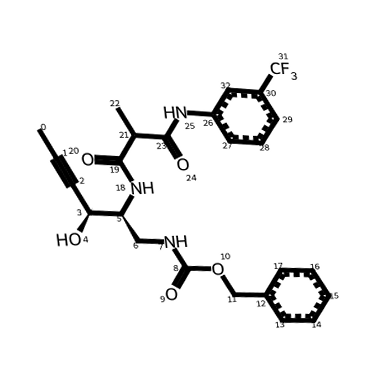 CC#C[C@H](O)[C@H](CNC(=O)OCc1ccccc1)NC(=O)C(C)C(=O)Nc1cccc(C(F)(F)F)c1